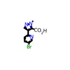 Cn1ncc(-c2ccc(Br)cn2)c1C(=O)O